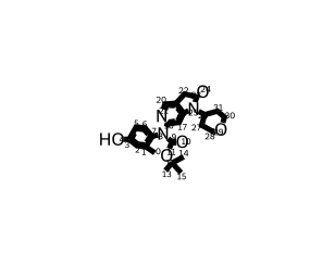 Cc1cc(O)ccc1N(C(=O)OC(C)(C)C)c1cc2c(cn1)CC(=O)N2C1CCOCC1